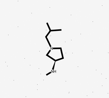 CN[C@@H]1CCN(C[C](C)C)C1